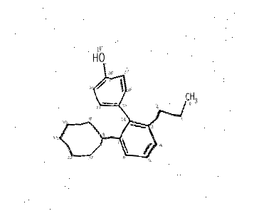 CCCc1cccc(C2CCCCC2)c1-c1ccc(O)cc1